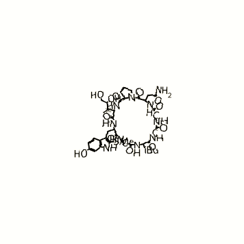 CCC(C)C1NC(=O)CNC(=O)C(Cc2c(SC)[nH]c3cc(O)ccc23)NC(=O)C([C@@H](C)C(O)CO)NC(=O)C2CCCN2C(=O)C(CC(N)=O)NC(=O)CNC(=O)CNC1=O